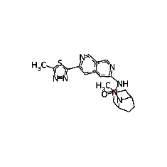 Cc1nnc(-c2cc3cc(NC(=O)N4C5CCC4CN(C)C5)ncc3cn2)s1